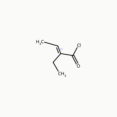 C/C=C(\CC)C(=O)Cl